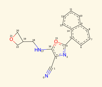 N#Cc1nc(-c2cccc3ccccc23)oc1NCC1COC1